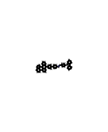 C(=C\c1ccc(-n2c3ccccc3c3ccccc32)cn1)/c1ccc(-c2ccc(-c3c4ccccc4c(-c4cccc5ccccc45)c4ccccc34)cc2)cc1